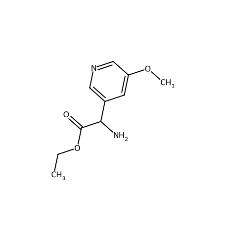 CCOC(=O)C(N)c1cncc(OC)c1